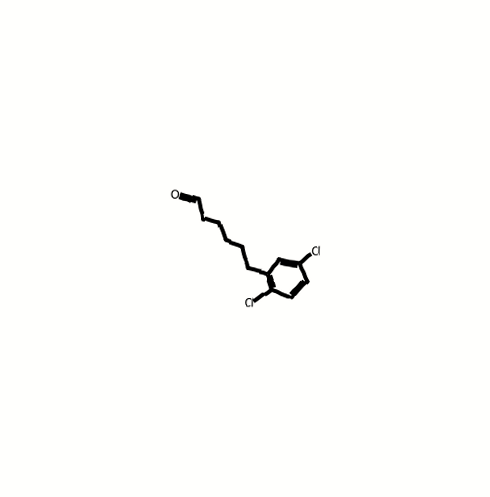 O=CCCCCCc1cc(Cl)ccc1Cl